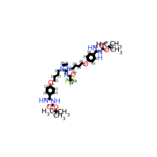 CC(C)(C)OC(=O)NC(=N)c1ccc(OCCCCn2ccn(CCCCOc3ccc(C(=N)NC(=O)OC(C)(C)C)cc3)c2=NC(=O)C(F)(F)F)cc1